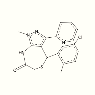 Cc1ccc(Cl)cc1C1SCC(=O)Nc2c1c(-c1ccccn1)nn2C